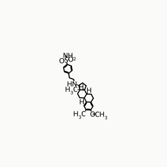 COc1cc2c(cc1C)[C@H]1CC[C@]3(C)[C@@H](NCCc4ccc(S(N)(=O)=O)cc4)CC[C@H]3[C@@H]1CC2